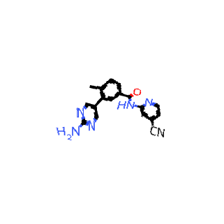 Cc1ccc(C(=O)Nc2cc(C#N)ccn2)cc1-c1cnc(N)nc1